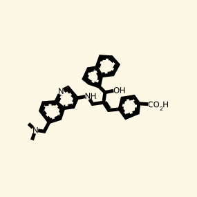 CN(C)Cc1ccc2ncc(NCC(=Cc3ccc(C(=O)O)cc3)C(O)c3cccc4ccccc34)cc2c1